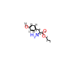 CCCOC(=O)C(N)Cc1ccc(OC)cc1